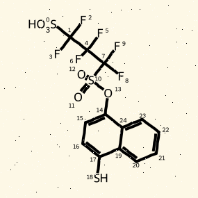 O=S(=O)(O)C(F)(F)C(F)(F)C(F)(F)S(=O)(=O)Oc1ccc(S)c2ccccc12